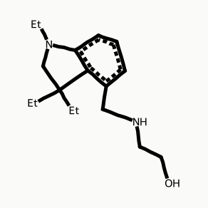 CCN1CC(CC)(CC)c2c(CNCCO)cccc21